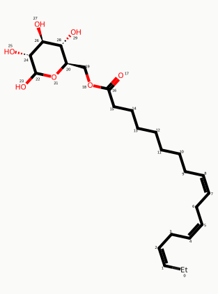 CC/C=C\C/C=C\C/C=C\CCCCCCCC(=O)OC[C@H]1OC(O)[C@H](O)[C@@H](O)[C@@H]1O